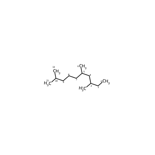 CCC(C)CC(C)CCCC(C)C